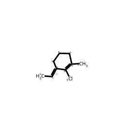 C/C=C1\CCCC(C)=C1Cl